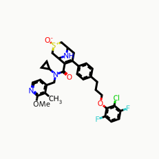 COc1nccc(CN(C(=O)C2=C(c3ccc(CCCOc4c(F)ccc(F)c4Cl)cc3)CC3C[S+]([O-])CC2N3)C2CC2)c1C